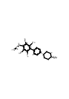 CCC[C@H]1CC[C@H](c2ccc(-c3c(F)c(F)c(N=C=S)c(F)c3F)cc2)CC1